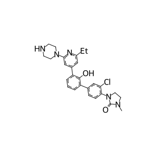 CCc1cc(-c2cccc(-c3ccc(N4CCN(C)C4=O)c(Cl)c3)c2O)cc(N2CCNCC2)n1